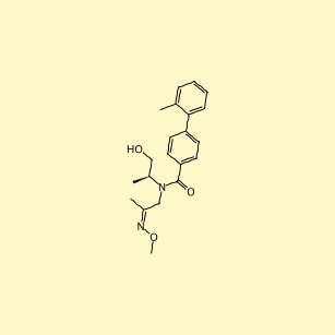 CO/N=C(/C)CN(C(=O)c1ccc(-c2ccccc2C)cc1)[C@@H](C)CO